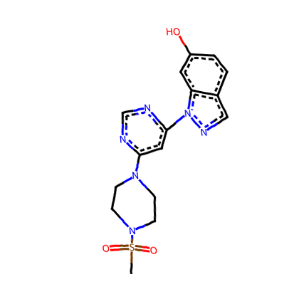 CS(=O)(=O)N1CCN(c2cc(-n3ncc4ccc(O)cc43)ncn2)CC1